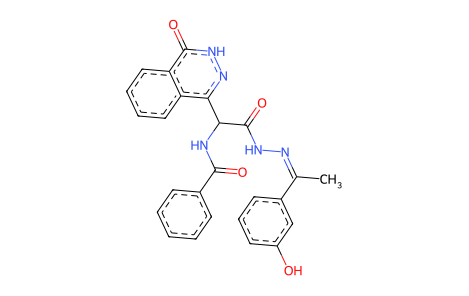 CC(=NNC(=O)C(NC(=O)c1ccccc1)c1n[nH]c(=O)c2ccccc12)c1cccc(O)c1